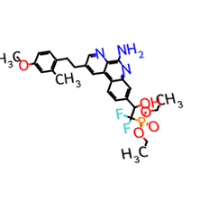 CCOP(=O)(OCC)C(F)(F)C(O)c1ccc2c(c1)nc(N)c1ncc(CCc3ccc(OC)cc3C)cc12